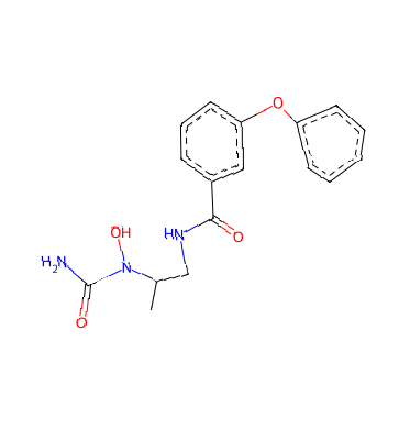 CC(CNC(=O)c1cccc(Oc2ccccc2)c1)N(O)C(N)=O